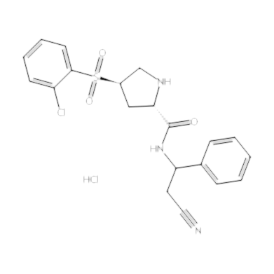 Cl.N#CCC(NC(=O)[C@@H]1C[C@@H](S(=O)(=O)c2ccccc2Cl)CN1)c1ccccc1